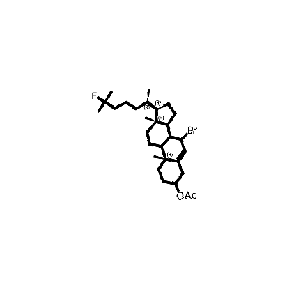 CC(=O)OC1CC[C@@]2(C)C(=CC(Br)C3C2CC[C@@]2(C)C3CC[C@@H]2[C@H](C)CCCC(C)(C)F)C1